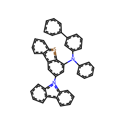 c1ccc(-c2cccc(N(c3ccccc3)c3cc(-n4c5ccccc5c5ccccc54)cc4c3sc3ccccc34)c2)cc1